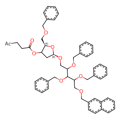 CC(=O)CCC(=O)OC1C[C@H](OCC(OCc2ccccc2)C(OCc2ccccc2)C(COCc2ccc3ccccc3c2)OCc2ccccc2)O[C@@H]1COCc1ccccc1